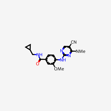 CNc1nc(Nc2ccc(C(=O)NCC3CC3)cc2OC)ncc1C#N